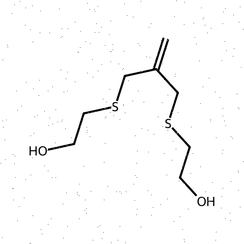 C=C(CSCCO)CSCCO